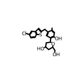 Cc1cc(O)c(C2CC(O)CC(CO)O2)cc1Cc1cc2cc(Cl)ccc2s1